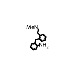 CNCCc1ccccc1Cc1ccccc1N